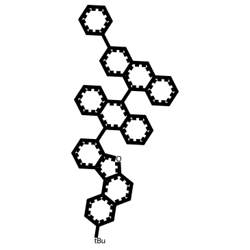 CC(C)(C)c1ccc2c(ccc3oc4c(-c5c6ccccc6c(-c6c7ccccc7cc7cc(-c8ccccc8)ccc67)c6ccccc56)cccc4c32)c1